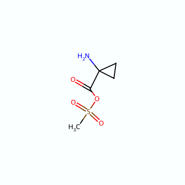 CS(=O)(=O)OC(=O)C1(N)CC1